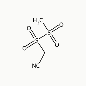 CS(=O)(=O)S(=O)(=O)CC#N